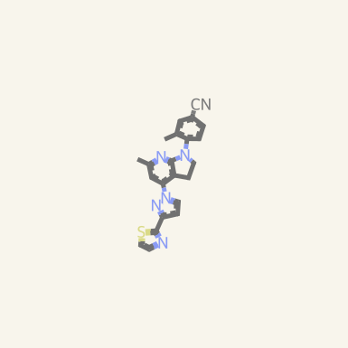 Cc1cc(-n2ccc(-c3nccs3)n2)c2c(n1)N(c1ccc(C#N)cc1C)CC2